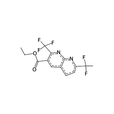 CCOC(=O)c1cc2ccc(C(C)(F)F)nc2nc1C(F)(F)F